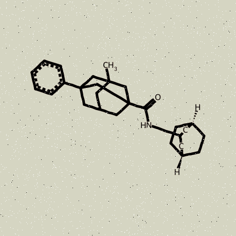 CC12CC3CC(C(=O)NC4C[C@H]5CC[C@@H](CC5)C4)(C1)CC(c1ccccc1)(C3)C2